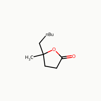 CCCCCC1(C)CCC(=O)O1